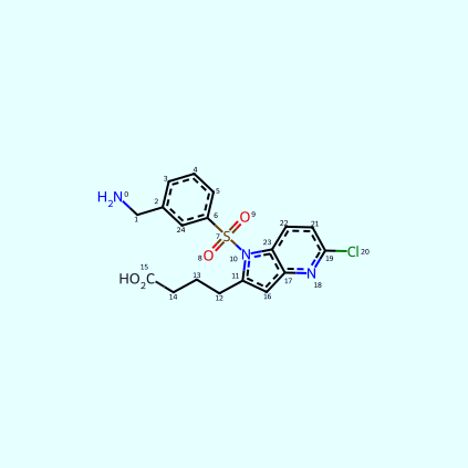 NCc1cccc(S(=O)(=O)n2c(CCCC(=O)O)cc3nc(Cl)ccc32)c1